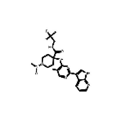 C[S+]([O-])N1CCC(Nc2nc(-c3c[nH]c4ncccc34)ncc2F)(C(=O)NCC(F)(F)F)CC1